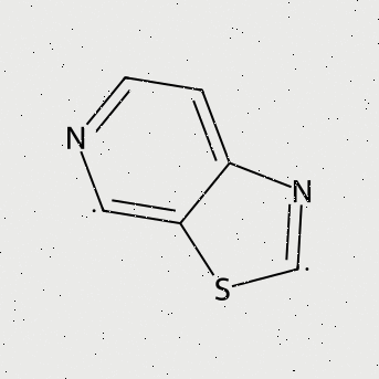 [c]1nc2ccn[c]c2s1